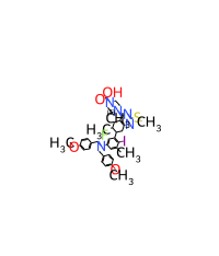 COc1ccc(CN(Cc2ccc(OC)cc2)c2cc(C)c(I)c(C3Cc4nc(SC)nc(N5CCN(C(=O)O)C[C@@H]5C)c4CC3C)c2F)cc1